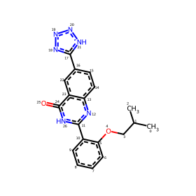 CC(C)COc1ccccc1-c1nc2ccc(-c3nnn[nH]3)cc2c(=O)[nH]1